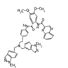 COc1cc(NC(=O)c2cnc3ccccc3n2)c(C(=O)Nc2ccc(CCN(Cc3ccc4c(cnn4C)c3)Cc3ccc4c(cnn4C)c3)cc2)cc1OC